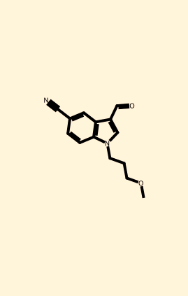 COCCCn1cc(C=O)c2cc(C#N)ccc21